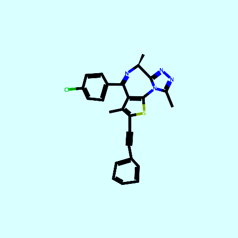 Cc1c(C#Cc2ccccc2)sc2c1C(c1ccc(Cl)cc1)=N[C@@H](C)c1nnc(C)n1-2